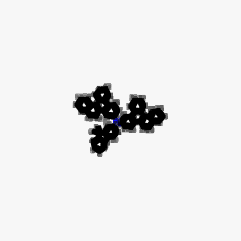 CC1(C)c2ccccc2-c2ccc(N(c3ccc(-c4ccc5ccccc5c4)c(-c4ccccc4)c3)c3ccc(-c4ccccc4)c(-c4ccc5ccccc5c4)c3)cc21